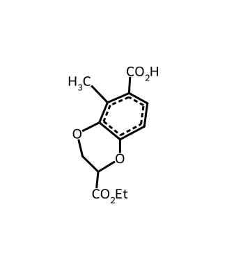 CCOC(=O)C1COc2c(ccc(C(=O)O)c2C)O1